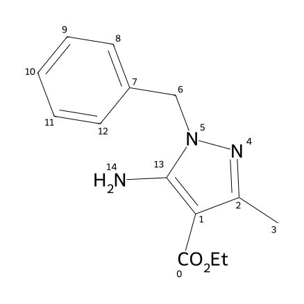 CCOC(=O)c1c(C)nn(Cc2ccccc2)c1N